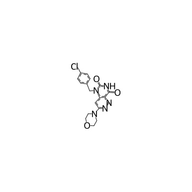 O=c1[nH]c(=O)n(Cc2ccc(Cl)cc2)c2cc(N3CCOCC3)nnc12